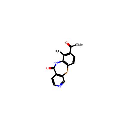 COC(=O)c1ccc2c(c1C)NC(=O)c1ccncc1S2